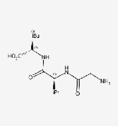 CC[C@H](C)[C@H](NC(=O)[C@@H](NC(=O)CN)C(C)C)C(=O)O